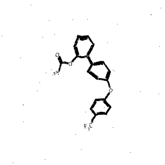 CCCC(=O)Oc1ccccc1-c1ccc(Oc2ccc(C(F)(F)F)cc2)cc1